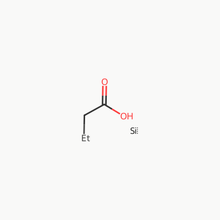 CCCC(=O)O.[Si]